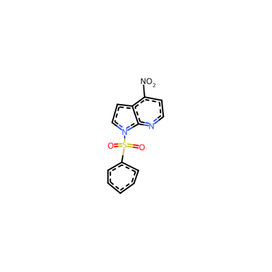 O=[N+]([O-])c1ccnc2c1ccn2S(=O)(=O)c1ccccc1